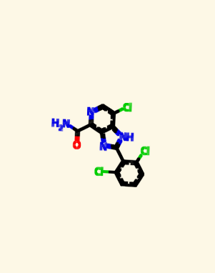 NC(=O)c1ncc(Cl)c2[nH]c(-c3c(Cl)cccc3Cl)nc12